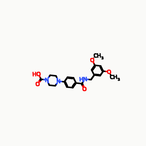 COc1cc(CNC(=O)c2ccc(N3CCN(C(=O)O)CC3)cc2)cc(OC)c1